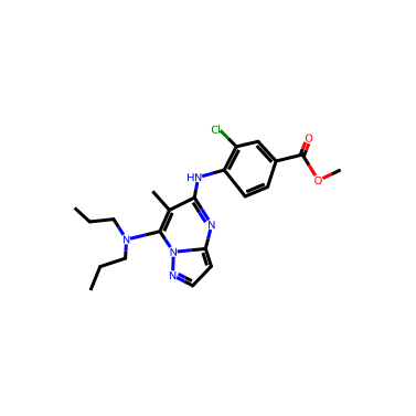 CCCN(CCC)c1c(C)c(Nc2ccc(C(=O)OC)cc2Cl)nc2ccnn12